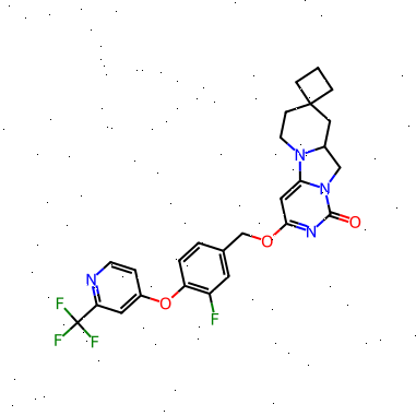 O=c1nc(OCc2ccc(Oc3ccnc(C(F)(F)F)c3)c(F)c2)cc2n1CC1CC3(CCC3)CCN21